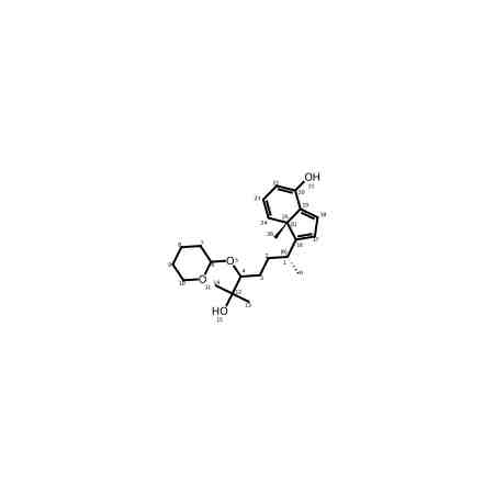 C[C@H](CCC(OC1CCCCO1)C(C)(C)O)C1=CC=C2C(O)=CC=C[C@]21C